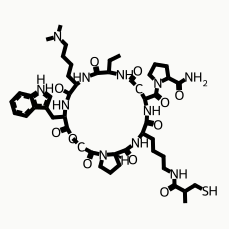 CCC1NC(=O)CC(C(=O)N2CCCC2C(N)=O)NC(=O)C(CCCCNC(=O)C(C)CS)NC(=O)[C@@H]2CCCN2C(=O)COC(=O)C(Cc2c[nH]c3ccccc23)NC(O)C(CCCCN(C)C)NC1=O